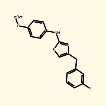 CCCCCCCCOc1ccc(Nc2nc(Cc3cccc(F)c3)cs2)cc1